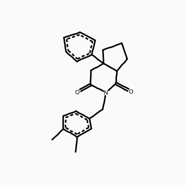 Cc1ccc(CN2C(=O)CC3(c4ccccc4)CCCC3C2=O)cc1C